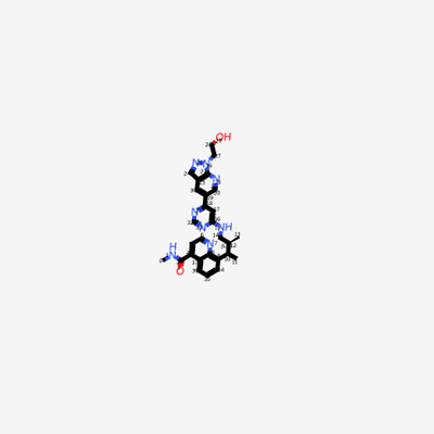 CNC(=O)c1ccnc2c(C(C)[C@H](C)CNc3cc(-c4cnc5c(cnn5CCO)c4)ncn3)cccc12